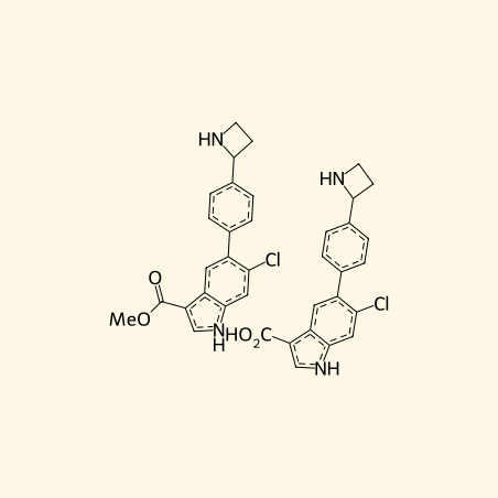 COC(=O)c1c[nH]c2cc(Cl)c(-c3ccc(C4CCN4)cc3)cc12.O=C(O)c1c[nH]c2cc(Cl)c(-c3ccc(C4CCN4)cc3)cc12